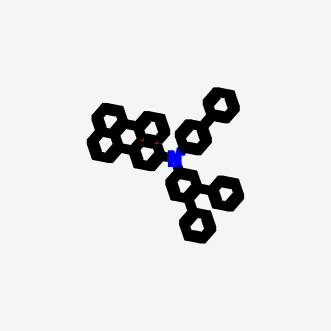 c1ccc(-c2ccc(N(c3ccc(-c4cccc5cccc(-c6ccccc6)c45)cc3)c3ccc(-c4ccccc4)c(-c4ccccc4)c3)cc2)cc1